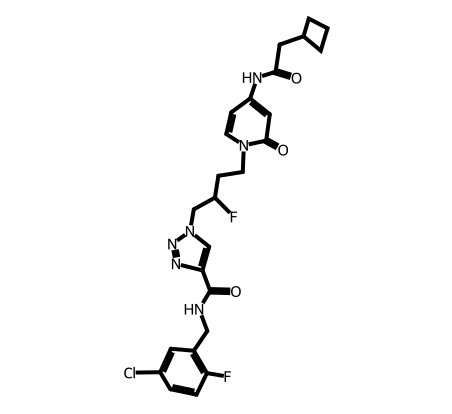 O=C(CC1CCC1)Nc1ccn(CCC(F)Cn2cc(C(=O)NCc3cc(Cl)ccc3F)nn2)c(=O)c1